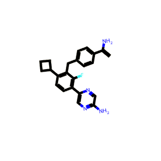 C=C(N)c1ccc(Cc2c(C3CCC3)ccc(-c3cnc(N)cn3)c2F)cc1